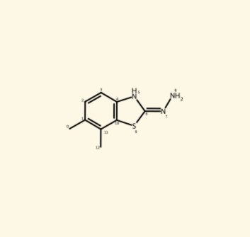 Cc1ccc2[nH]/c(=N\N)sc2c1C